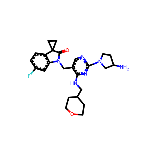 NC1CCN(c2ncc(CN3C(=O)C4(CC4)c4ccc(F)cc43)c(NCC3CCOCC3)n2)C1